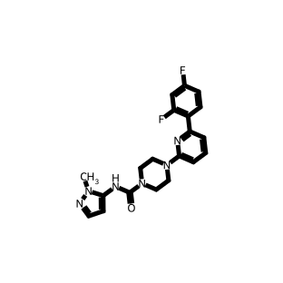 Cn1nccc1NC(=O)N1CCN(c2cccc(-c3ccc(F)cc3F)n2)CC1